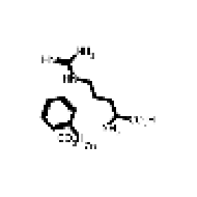 N=C(N)NCCCC(N)C(=O)O.O=C(O)c1ccccc1.[Zn]